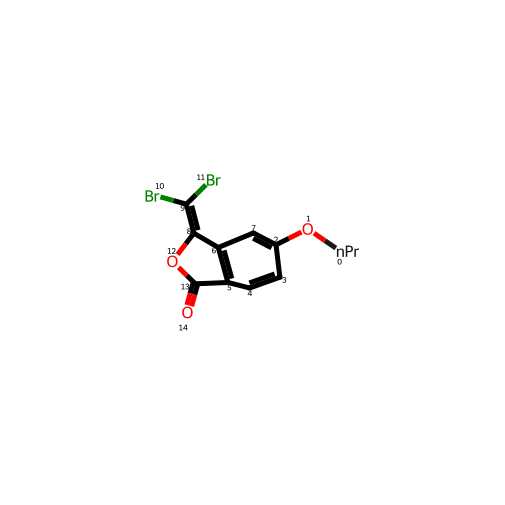 CCCOc1ccc2c(c1)C(=C(Br)Br)OC2=O